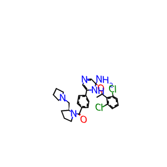 CC(OC1(N)C=NC=C(c2ccc(C(=O)N3CCC[C@H]3CN3CCCC3)cc2)N1)c1c(Cl)cccc1Cl